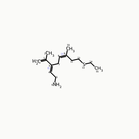 C=C(C)/C(=C/CN)C/C=C(/C)CCSCC